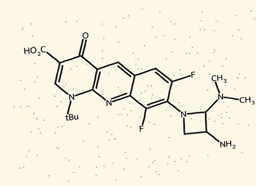 CN(C)C1C(N)CN1c1c(F)cc2cc3c(=O)c(C(=O)O)cn(C(C)(C)C)c3nc2c1F